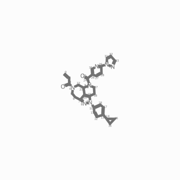 C=CC(=O)N1CCc2nn(-c3ccc(C4CC4)cc3)c3c2[C@H](C1)N(C(=O)c1ccc(-n2cccn2)nc1)CC3